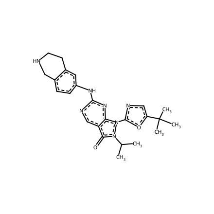 CC(C)n1c(=O)c2cnc(Nc3ccc4c(c3)CCNC4)nc2n1-c1ncc(C(C)(C)C)o1